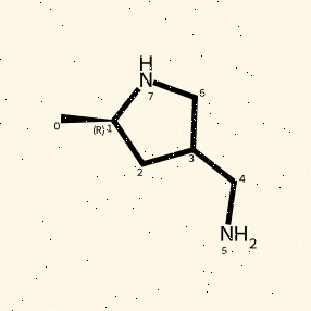 C[C@@H]1CC(CN)CN1